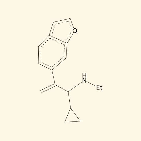 C=C(c1ccc2ccoc2c1)C(NCC)C1CC1